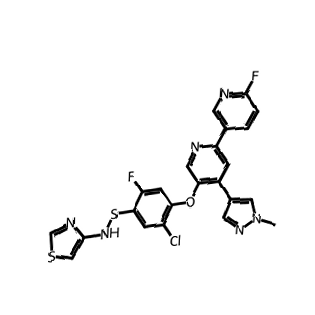 Cn1cc(-c2cc(-c3ccc(F)nc3)ncc2Oc2cc(F)c(SNc3cscn3)cc2Cl)cn1